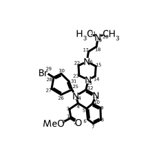 COC(=O)CC1c2ccccc2N=C(N2CCN(CCN(C)C)CC2)N1c1ccc(Br)cc1